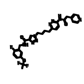 CC(F)(F)Oc1ccc(F)c(CNC(=O)c2cn(CCCCc3ccc(NC(=O)Cc4ccncc4)nn3)nn2)c1